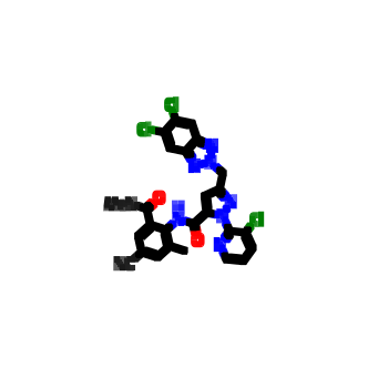 CNC(=O)c1cc(C#N)cc(C)c1NC(=O)c1cc(Cn2nc3cc(Cl)c(Cl)cc3n2)nn1-c1ncccc1Cl